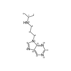 CC(C)NCCCn1cnc2cncnc21